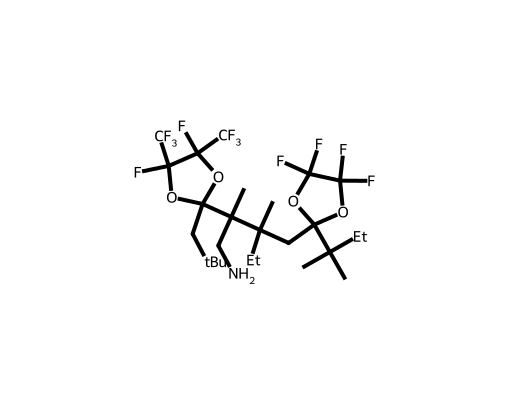 CCC(C)(C)C1(CC(C)(CC)C(C)(CN)C2(CC(C)(C)C)OC(F)(C(F)(F)F)C(F)(C(F)(F)F)O2)OC(F)(F)C(F)(F)O1